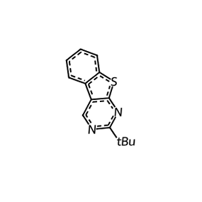 CC(C)(C)c1ncc2c(n1)sc1ccccc12